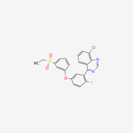 N#CCS(=O)(=O)c1cccc(Oc2ccc(F)c(-c3ncnc4c(Cl)cccc34)c2)c1